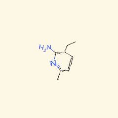 CCc1ccc(C)nc1N